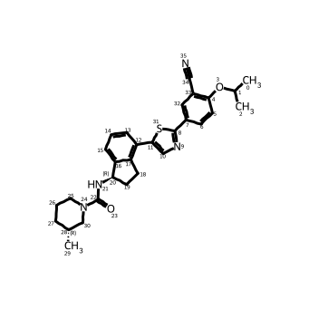 CC(C)Oc1ccc(-c2ncc(-c3cccc4c3CC[C@H]4NC(=O)N3CCC[C@@H](C)C3)s2)cc1C#N